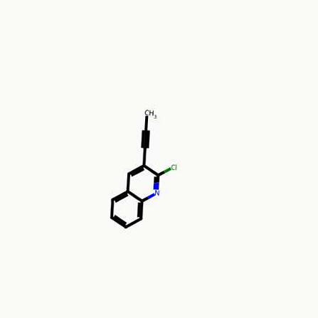 CC#Cc1cc2ccccc2nc1Cl